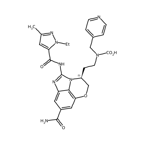 CCn1nc(C)cc1C(=O)Nc1nc2cc(C(N)=O)cc3c2n1[C@@H](CCN(Cc1ccncc1)C(=O)O)CO3